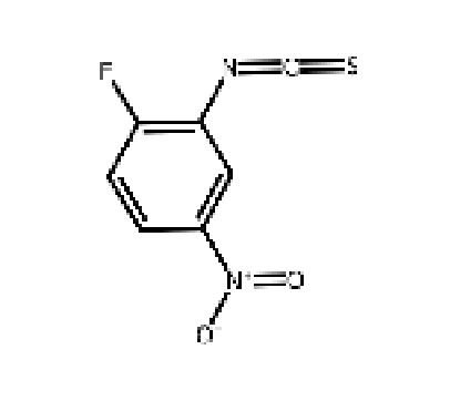 O=[N+]([O-])c1ccc(F)c(N=C=S)c1